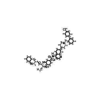 C[C@H](CCCCSc1ccccc1N)Nc1ccc(S(=O)(=O)Nc2ncnc3cc(N4CCN(Cc5ccccc5-c5ccc(Cl)cc5)CC4)ccc23)cc1[N+](=O)[O-]